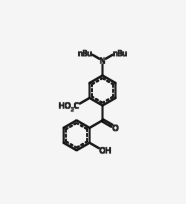 CCCCN(CCCC)c1ccc(C(=O)c2ccccc2O)c(C(=O)O)c1